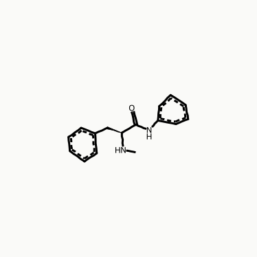 CN[C@@H](Cc1ccccc1)C(=O)Nc1ccccc1